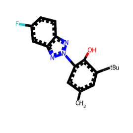 Cc1cc(-n2nc3ccc(F)cc3n2)c(O)c(C(C)(C)C)c1